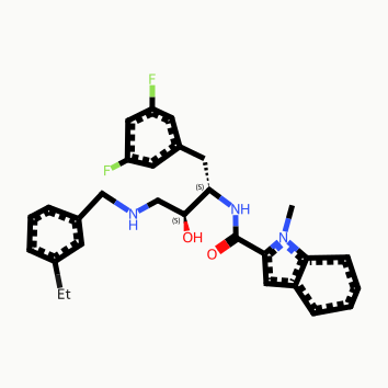 CCc1cccc(CNC[C@H](O)[C@H](Cc2cc(F)cc(F)c2)NC(=O)c2cc3ccccc3n2C)c1